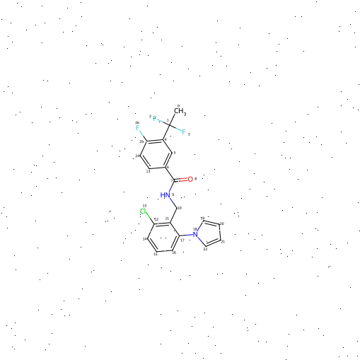 CC(F)(F)c1cc(C(=O)NCc2c(Cl)cccc2-n2cccc2)ccc1F